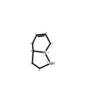 [CH]1C=CCN2NCCC12